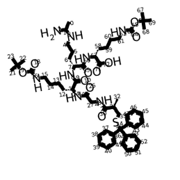 CC(N)NCCC[C@@H](NC(=O)[C@@H](CCCCNC(=O)OC(C)(C)C)NC(=O)CNC(=O)[C@@H](C)CSC(c1ccccc1)(c1ccccc1)c1ccccc1)C(=O)N[C@H](CCCCNC(=O)OC(C)(C)C)C(=O)O